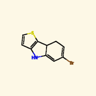 BrC1=CCC2C(=C1)Nc1ccsc12